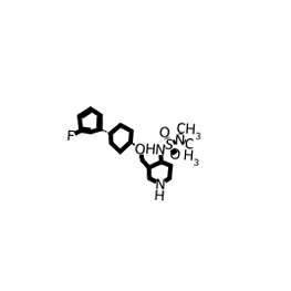 CN(C)S(=O)(=O)NC1CCNCC1CO[C@H]1CC[C@@H](c2cccc(F)c2)CC1